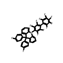 Fc1ccc(C2(c3ccc(F)cc3)c3ccccc3N(c3c(F)c(F)c(-c4c(F)c(F)c(F)c(F)c4F)c(F)c3F)c3ccccc32)cc1